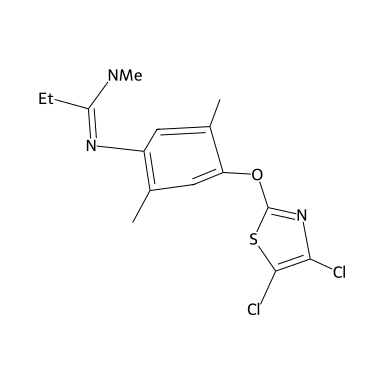 CCC(=Nc1cc(C)c(Oc2nc(Cl)c(Cl)s2)cc1C)NC